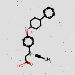 CC#C[C@H](CC(=O)O)c1ccc(OC2CCC(c3ccccc3)CC2)cc1